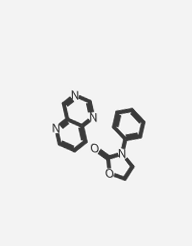 O=C1OCCN1c1ccccc1.c1cnc2cncnc2c1